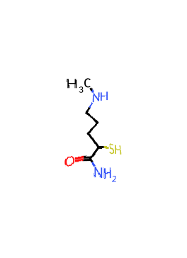 CNCCCC(S)C(N)=O